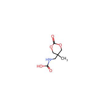 CC1(CNC(=O)O)COC(=O)OC1